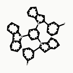 Fc1cccc(-c2cc3ccccc3n2-c2cc(-n3c(-c4cccc(F)c4)cc4ccccc43)cc(-n3c4ccccc4c4ccccc43)c2)c1